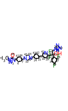 Cn1ncn(-c2ccc(N3CCN(c4ccc(-c5ccc(C(F)(F)[C@](O)(Cn6cnnn6)c6ccc(F)cc6F)nc5)cc4)CC3)cc2)c1=O